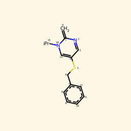 C=C1N=CC(SCc2ccccc2)=CN1C(C)C